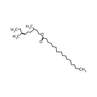 CCCCCCCCCCCCCCCC(=O)OCCC(C)CCC=C(C)CC